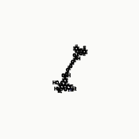 CC/N=C1/C=C2Oc3cc(NCC)c(C)cc3C(c3ccc(C(=O)NCCOCCOCCOCCNC(=O)CCC(=O)N(Cc4ccccc4C)c4ccccc4C)cc3C(=O)O)C2C=C1C